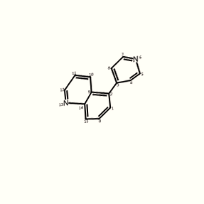 c1cc(-c2ccncc2)c2cccnc2c1